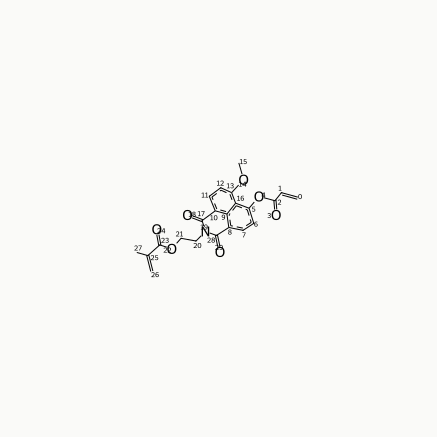 C=CC(=O)Oc1ccc2c3c(ccc(OC)c13)C(=O)N(CCOC(=O)C(=C)C)C2=O